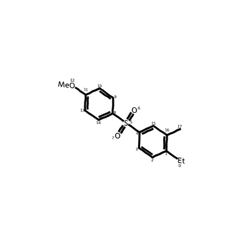 CCc1ccc(S(=O)(=O)c2ccc(OC)cc2)cc1C